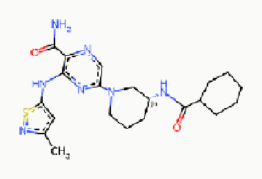 Cc1cc(Nc2nc(N3CCC[C@@H](NC(=O)C4CCCCC4)C3)cnc2C(N)=O)sn1